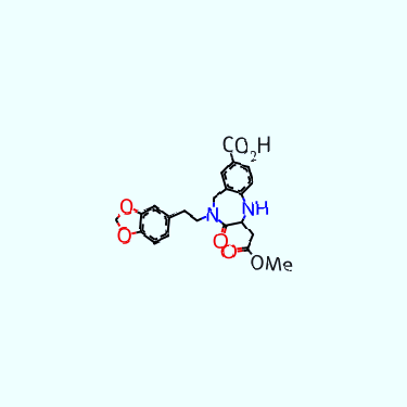 COC(=O)CC1Nc2ccc(C(=O)O)cc2CN(CCc2ccc3c(c2)OCO3)C1=O